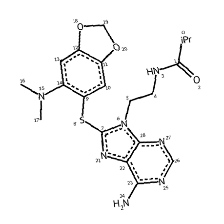 CC(C)C(=O)NCCn1c(Sc2cc3c(cc2N(C)C)OCO3)nc2c(N)ncnc21